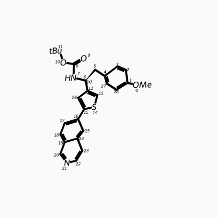 COc1ccc(C[C@H](NC(=O)OC(C)(C)C)c2csc(-c3ccc4cnccc4c3)c2)cc1